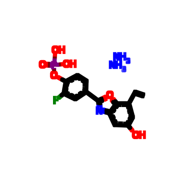 C=Cc1cc(O)cc2nc(-c3ccc(OP(=O)(O)O)c(F)c3)oc12.N.N